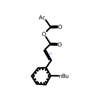 CCCCc1ccccc1/C=C/C(=O)OC(=O)C(C)=O